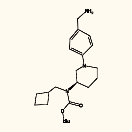 CC(C)(C)OC(=O)N(CC1CCC1)[C@@H]1CCCN(c2ccc(CN)cc2)C1